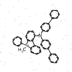 C[Si]1(c2ccccc2)c2ccccc2-c2c(N(c3ccc(-c4ccccc4)cc3)c3ccc(-c4ccccc4)cc3)cccc21